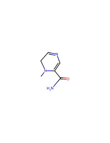 CN1CC=NC=C1C(N)=O